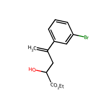 C=C(CC(O)C(=O)OCC)c1cccc(Br)c1